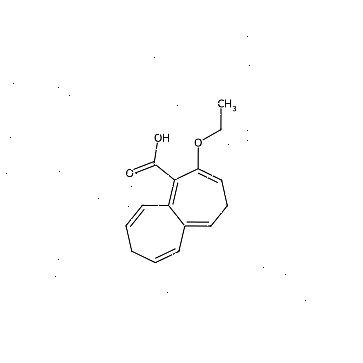 CCOC1=CCC=C2C=CCC=CC2=C1C(=O)O